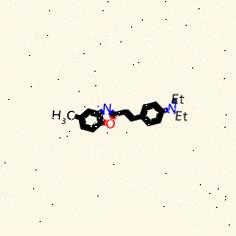 CCN(CC)c1ccc(/C=C/c2nc3cc(C)ccc3o2)cc1